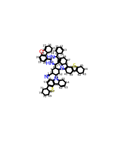 N#CC1CC(C2C=CC(C3C=CC=CC3)NC(c3cccc4c3C3CCCC=C3O4)N2)C(N2C3=C(c4sc5c(c4CC3)CCCC5)C3CCC=CC32)CC1N1c2ccc3c(c2C2C=CCCC21)SC1CCCCC31